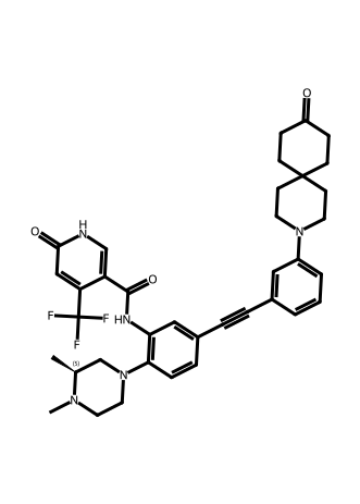 C[C@H]1CN(c2ccc(C#Cc3cccc(N4CCC5(CCC(=O)CC5)CC4)c3)cc2NC(=O)c2c[nH]c(=O)cc2C(F)(F)F)CCN1C